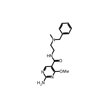 COc1nc(N)ncc1C(=O)NCCN(C)Cc1ccccc1